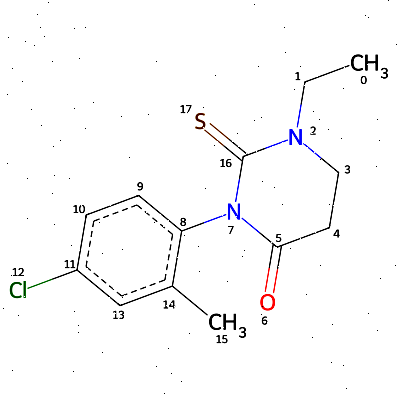 CCN1CCC(=O)N(c2ccc(Cl)cc2C)C1=S